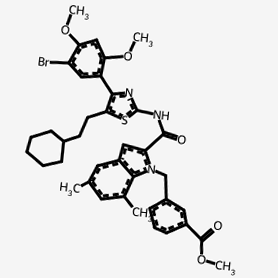 COC(=O)c1cccc(Cn2c(C(=O)Nc3nc(-c4cc(Br)c(OC)cc4OC)c(CCC4CCCCC4)s3)cc3cc(C)cc(C)c32)c1